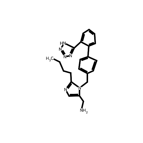 CCCCc1ncc(CN)n1Cc1ccc(-c2ccccc2-c2nnn[nH]2)cc1